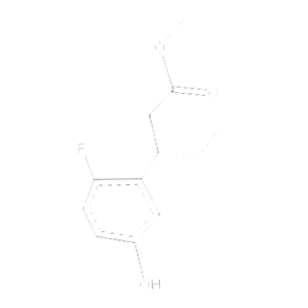 CC[C@@H](CC(=O)OC)c1cc(O)ccc1F